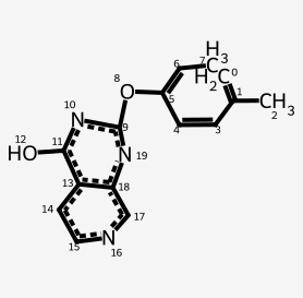 C=C(C)/C=C\C(=C/C)Oc1nc(O)c2ccncc2n1